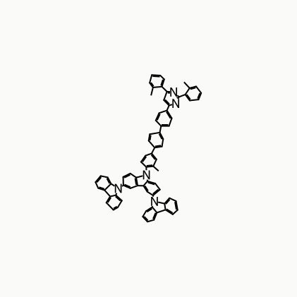 Cc1ccccc1-c1cc(-c2ccc(-c3ccc(-c4ccc(-n5c6ccc(-n7c8ccccc8c8ccccc87)cc6c6cc(-n7c8ccccc8c8ccccc87)ccc65)c(C)c4)cc3)cc2)nc(-c2ccccc2C)n1